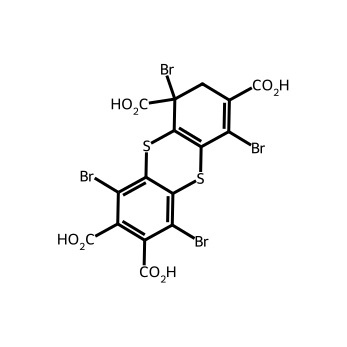 O=C(O)C1=C(Br)C2=C(Sc3c(Br)c(C(=O)O)c(C(=O)O)c(Br)c3S2)C(Br)(C(=O)O)C1